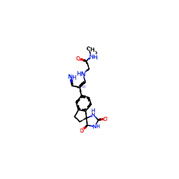 CNC(=O)CN/C=C(\C=N)c1ccc2c(c1)CCC21NC(=O)NC1=O